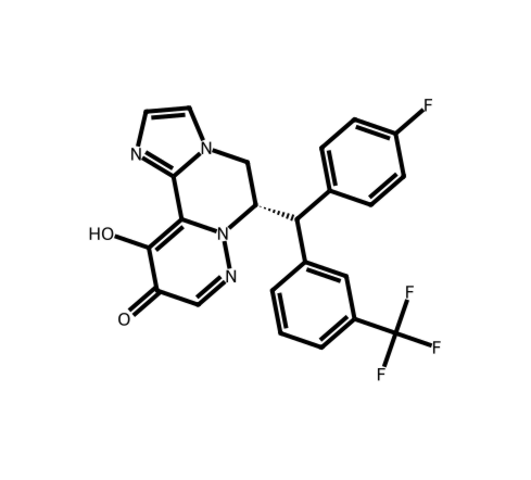 O=c1cnn2c(c1O)-c1nccn1C[C@@H]2C(c1ccc(F)cc1)c1cccc(C(F)(F)F)c1